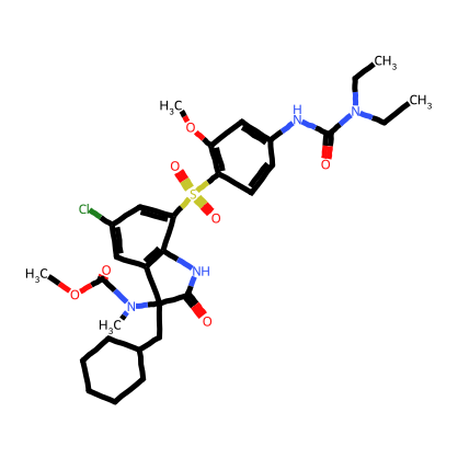 CCN(CC)C(=O)Nc1ccc(S(=O)(=O)c2cc(Cl)cc3c2NC(=O)C3(CC2CCCCC2)N(C)C(=O)OC)c(OC)c1